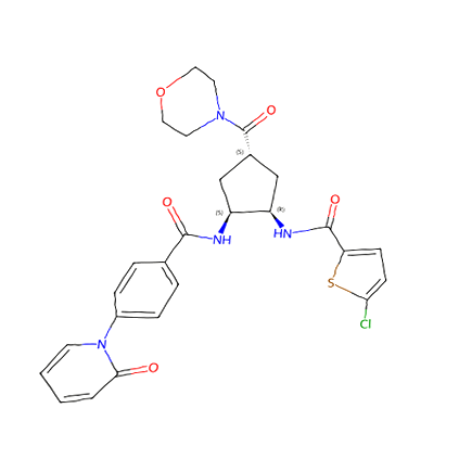 O=C(N[C@H]1C[C@H](C(=O)N2CCOCC2)C[C@H]1NC(=O)c1ccc(Cl)s1)c1ccc(-n2ccccc2=O)cc1